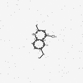 CCc1ccc2nc(C)cc(Cl)c2c1